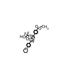 CCOC(=O)c1ccc(-c2cn3nc(-c4ccc(N5CCCCC5)cc4)sc3n2)cc1.O=C(O)C(F)(F)F